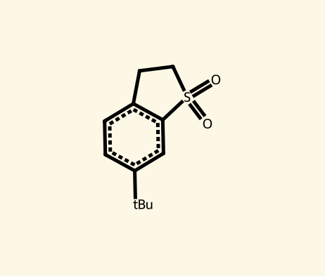 CC(C)(C)c1ccc2c(c1)S(=O)(=O)CC2